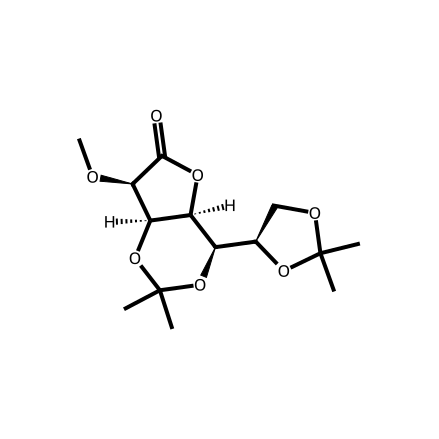 CO[C@H]1C(=O)O[C@@H]2[C@H]1OC(C)(C)O[C@@H]2[C@H]1COC(C)(C)O1